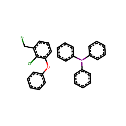 Clc1c(CBr)cccc1Oc1ccccc1.c1ccc(P(c2ccccc2)c2ccccc2)cc1